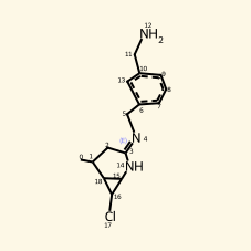 CC1C/C(=N\Cc2cccc(CN)c2)NC2C(Cl)C12